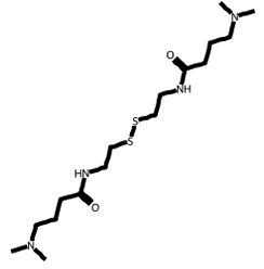 CN(C)CCCC(=O)NCCSSCCNC(=O)CCCN(C)C